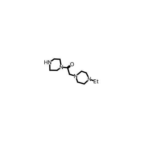 CCN1CCN(CC(=O)N2CCNCC2)CC1